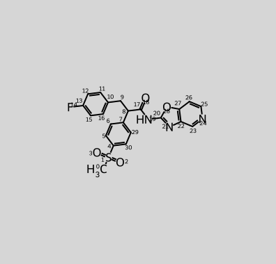 CS(=O)(=O)c1ccc(C(Cc2ccc(F)cc2)C(=O)Nc2nc3cnccc3o2)cc1